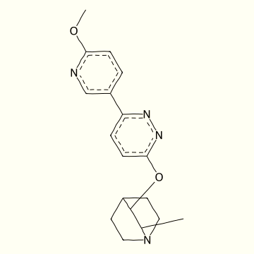 COc1ccc(-c2ccc(OC3C4CCN(CC4)C3C)nn2)cn1